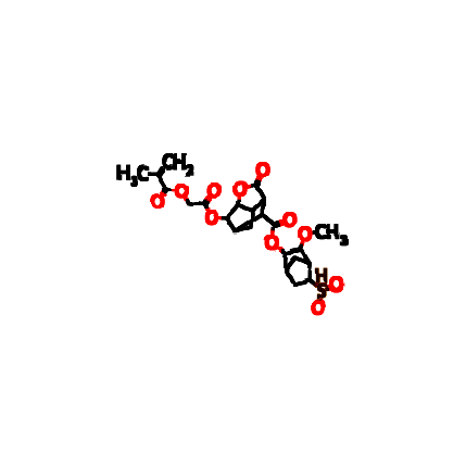 C=C(C)C(=O)OCC(=O)OC1C2CC3C1OC(=O)C3C2C(=O)OC1C2CC(C1OC)C([SH](=O)=O)C2